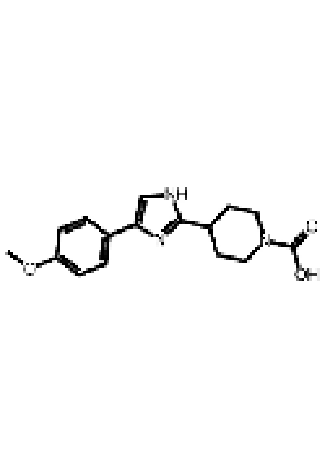 COc1ccc(-c2c[nH]c(C3CCN(C(=O)O)CC3)n2)cc1